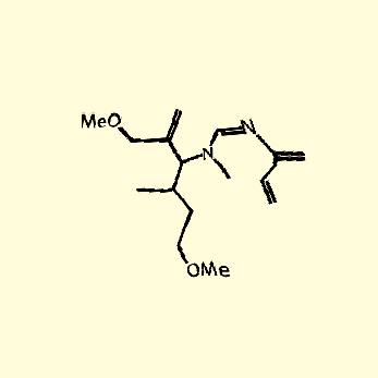 C=CC(=C)/N=C\N(C)C(C(=C)COC)C(C)CCOC